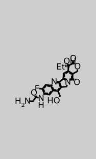 CC[C@@]1(O)C(=O)OCc2c1cc1n(c2=O)Cc2c-1nc1cc(F)c(NC(=O)CN)cc1c2CO